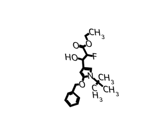 CCOC(=O)C(F)C(O)c1cc(OCc2ccccc2)n(C(C)(C)C)c1